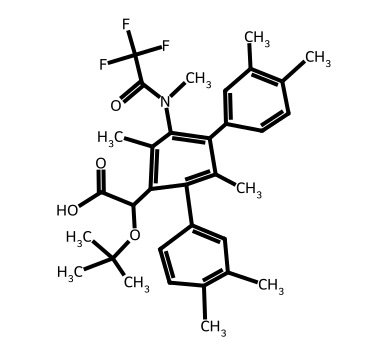 Cc1ccc(-c2c(C)c(-c3ccc(C)c(C)c3)c(N(C)C(=O)C(F)(F)F)c(C)c2C(OC(C)(C)C)C(=O)O)cc1C